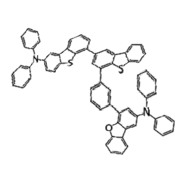 c1ccc(N(c2ccccc2)c2ccc3sc4c(-c5cc(-c6cccc(-c7cc(N(c8ccccc8)c8ccccc8)cc8c7oc7ccccc78)c6)c6sc7ccccc7c6c5)cccc4c3c2)cc1